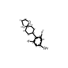 CCCc1cc(F)c(C2CCC3(CC2)OCCO3)c(F)c1